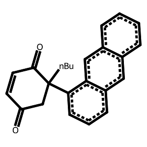 CCCCC1(c2cccc3cc4ccccc4cc23)CC(=O)C=CC1=O